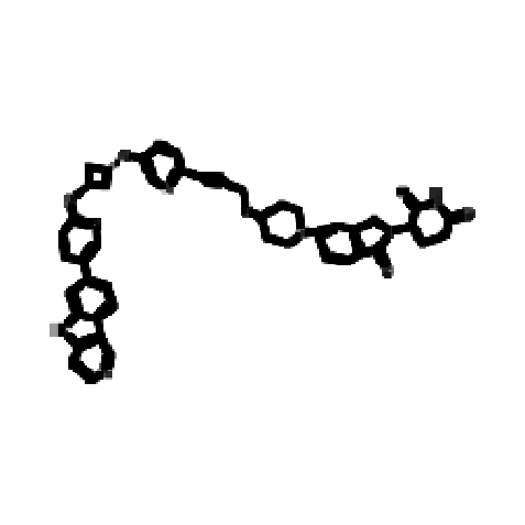 O=C1CCC(N2Cc3cc(N4CCC(OCC#Cc5ccc(O[C@H]6C[C@H](Oc7ccc(-c8ccc9c(c8)[nH]c8ccncc89)cn7)C6)cn5)CC4)ccc3C2=O)C(=O)N1